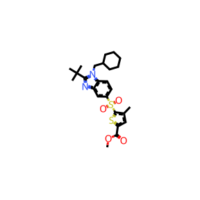 COC(=O)c1cc(C)c(S(=O)(=O)c2ccc3c(c2)nc(C(C)(C)C)n3CC2CCCCC2)s1